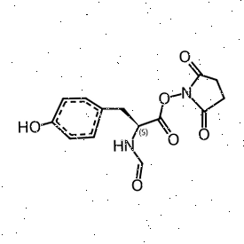 O=CN[C@@H](Cc1ccc(O)cc1)C(=O)ON1C(=O)CCC1=O